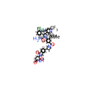 COc1cc(C(=O)N2CC[C@@H](c3ccc4c(c3)CN(C3CCC(=O)NC3=O)C4=O)C2)ccc1N1[C@@H](CC(C)(C)C)[C@@]2(CNc3cc(C(F)(F)F)ncc32)[C@@H](c2cccc(Cl)c2F)[C@@H]1C(N)=O